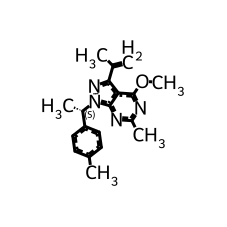 C=C(C)c1nn([C@@H](C)c2ccc(C)cc2)c2nc(C)nc(OC)c12